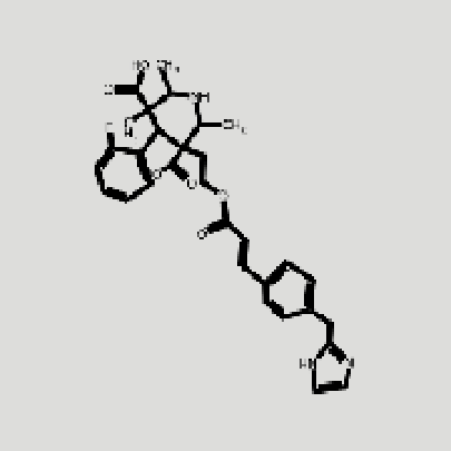 CC1NC(C)C(CCOC(=O)C=Cc2ccc(Cc3ncc[nH]3)cc2)(C(=O)O)C(c2ccccc2F)C1(C)C(=O)O